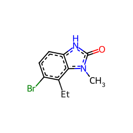 CCc1c(Br)ccc2[nH]c(=O)n(C)c12